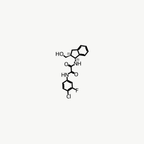 O=C(Nc1ccc(Cl)c(F)c1)C(=O)N[C@@H]1c2ccccc2C[C@@H]1CO